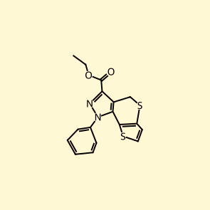 CCOC(=O)c1nn(-c2ccccc2)c2c1CSc1ccsc1-2